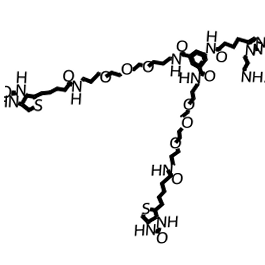 CC(=O)NCCCn1nncc1CCCC(=O)Nc1cc(C(=O)NCCCOCCOCCOCCCNC(=O)CCCCC2SCC3NC(=O)NC32)cc(C(=O)NCCCOCCOCCOCCCNC(=O)CCCCC2SCC3NC(=O)NC32)c1